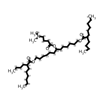 CCCCCCC(CCCC)C(=O)OCCCCCCC(CCCCCCOC(=O)C(CCCC)CCCCCC)OC(=O)CCCN(C)C